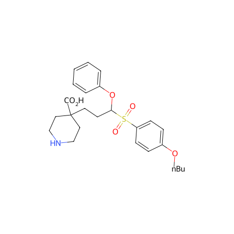 CCCCOc1ccc(S(=O)(=O)C(CCC2(C(=O)O)CCNCC2)Oc2ccccc2)cc1